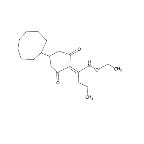 CCCC(NOCC)=C1C(=O)CC(C2CCCCCCC2)CC1=O